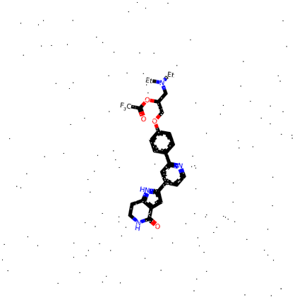 CCN(CC)CC(COc1ccc(-c2cc(-c3cc4c([nH]3)CCNC4=O)ccn2)cc1)OC(=O)C(F)(F)F